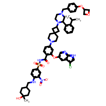 CC(C)c1ccccc1C1CN(Cc2ccc(OC3COC3)cc2)CCN1C1CC2(CCN(c3ccc(C(=O)NS(=O)(=O)c4ccc(NCC5CCC(C)(O)CC5)c([N+](=O)[O-])c4)c(Oc4cnc5[nH]cc(Cl)c5c4)c3)CC2)C1